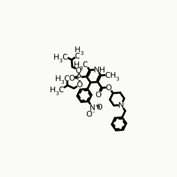 CC1=C(C(=O)OC2CCN(Cc3ccccc3)CC2)C(c2cccc([N+](=O)[O-])c2)C(P(=O)(OCC(C)C)OCC(C)C)=C(C)N1